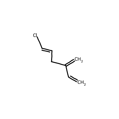 C=CC(=C)CC=CCl